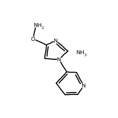 N.NOc1cn(-c2cccnc2)cn1